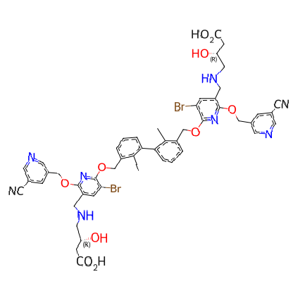 Cc1c(COc2nc(OCc3cncc(C#N)c3)c(CNC[C@H](O)CC(=O)O)cc2Br)cccc1-c1cccc(COc2nc(OCc3cncc(C#N)c3)c(CNC[C@H](O)CC(=O)O)cc2Br)c1C